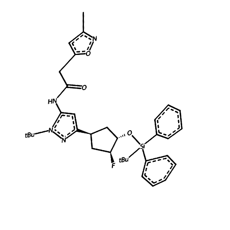 Cc1cc(CC(=O)Nc2cc([C@H]3C[C@H](O[Si](c4ccccc4)(c4ccccc4)C(C)(C)C)[C@@H](F)C3)nn2C(C)(C)C)on1